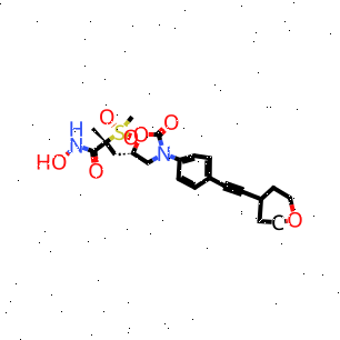 C[C@@](C[C@H]1CN(c2ccc(C#CC3CCOCC3)cc2)C(=O)O1)(C(=O)NO)S(C)(=O)=O